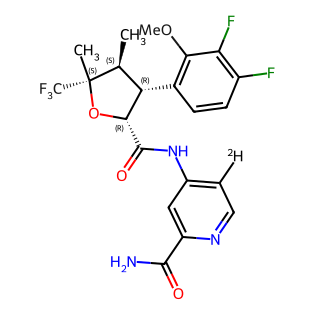 [2H]c1cnc(C(N)=O)cc1NC(=O)[C@@H]1O[C@](C)(C(F)(F)F)[C@@H](C)[C@@H]1c1ccc(F)c(F)c1OC